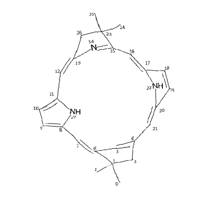 CC1(C)Cc2cc1cc1ccc(cc3nc(cc4ccc(c2)[nH]4)C(C)(C)C3)[nH]1